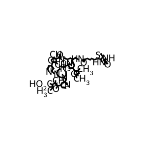 Cc1cc(C)c(-c2ccnc(CN3CCN(Cc4cc(-c5oc(C)c(C(=O)O)c5C)ccn4)CCN(Cc4cc(-c5oc(C)c(C(=O)NCCCCCCNC(=O)CCCCC6SCC7NC(=O)NC76)c5C)ccn4)CC3)c2)o1